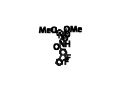 COC(=O)[C@@H]1C[C@@H](OC)CN1C(=O)CNC(=O)c1ccc2c(c1)-c1ccccc1C2(F)F